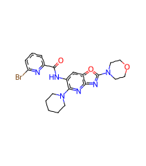 O=C(Nc1cc2oc(N3CCOCC3)nc2nc1N1CCCCC1)c1cccc(Br)n1